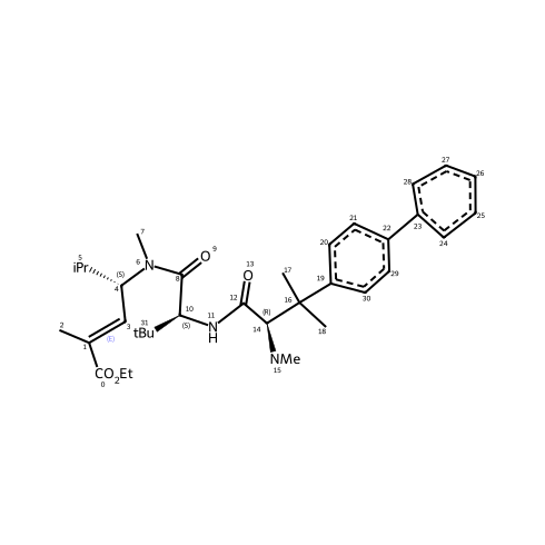 CCOC(=O)/C(C)=C/[C@H](C(C)C)N(C)C(=O)[C@@H](NC(=O)[C@H](NC)C(C)(C)c1ccc(-c2ccccc2)cc1)C(C)(C)C